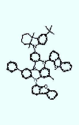 Cc1cc2c3c(c1)N(c1cccc4c1sc1ccccc14)c1cc(N4c5ccc(C(C)(C)C)cc5C5(C)CCCCC45C)ccc1B3c1cc(-c3ccccc3)ccc1N2c1cccc2c1oc1ccccc12